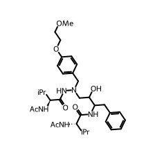 COCCOc1ccc(CN(CC(O)C(Cc2ccccc2)NC(=O)[C@@H](NC(C)=O)C(C)C)NC(=O)[C@@H](NC(C)=O)C(C)C)cc1